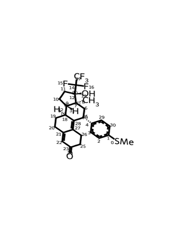 CSc1ccc([C@H]2C[C@@]3(C)[C@@H](CC[C@]3(O)C(F)(F)C(F)(F)F)[C@@H]3CCC4=CC(=O)CCC4=C32)cc1